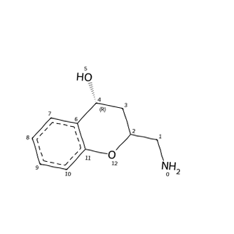 NCC1C[C@@H](O)c2ccccc2O1